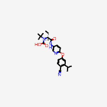 CC[C@H](C(=O)Nc1ccc(Oc2ccc(C#N)c(C(C)C)c2)nc1)N(C(=O)O)C(C)(C)C